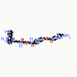 NCc1cnc(N2CCN(C(=O)CCOCCN3CCN(c4ncc(C(=O)NCCOCCC(=O)NCCCCn5nc(-c6cnc7[nH]ccc7c6)c6c(N)ncnc65)cn4)CC3)CC2)nc1